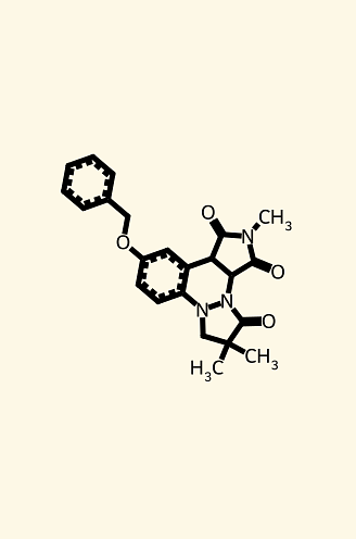 CN1C(=O)C2c3cc(OCc4ccccc4)ccc3N3CC(C)(C)C(=O)N3C2C1=O